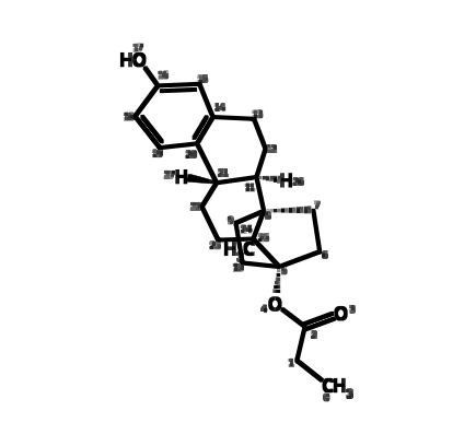 CCC(=O)O[C@]12CC[C@]3(CC1)[C@@H]1CCc4cc(O)ccc4[C@H]1CC[C@]23C